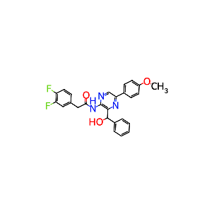 COc1ccc(-c2cnc(NC(=O)Cc3ccc(F)c(F)c3)c(C(O)c3ccccc3)n2)cc1